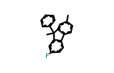 Cc1ccc2c(c1)C(C)(c1ccccc1)c1cc(F)ccc1-2